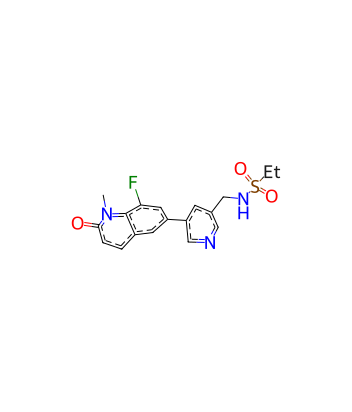 CCS(=O)(=O)NCc1cncc(-c2cc(F)c3c(ccc(=O)n3C)c2)c1